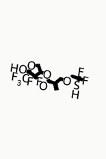 C=C(COCC(F)(F)S)C(=O)OC1COC(O)(C(F)(F)F)C1(F)F